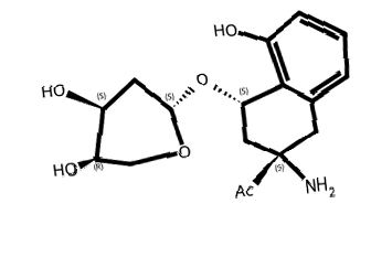 CC(=O)[C@]1(N)Cc2cccc(O)c2[C@@H](O[C@H]2C[C@H](O)[C@H](O)CO2)C1